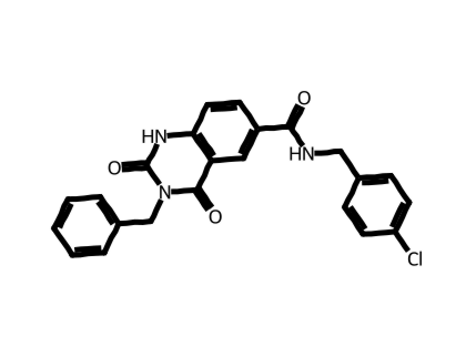 O=C(NCc1ccc(Cl)cc1)c1ccc2[nH]c(=O)n(Cc3ccccc3)c(=O)c2c1